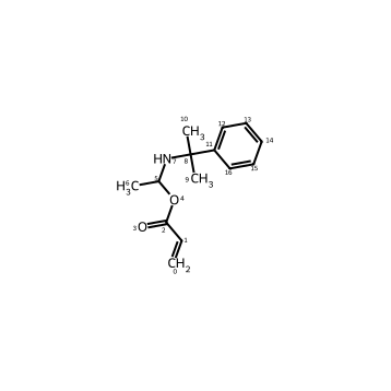 C=CC(=O)OC(C)NC(C)(C)c1ccccc1